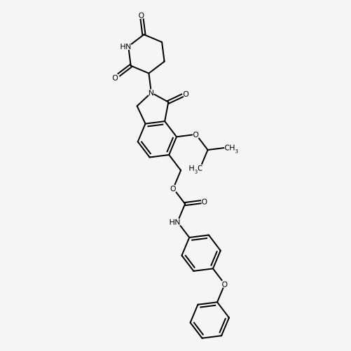 CC(C)Oc1c(COC(=O)Nc2ccc(Oc3ccccc3)cc2)ccc2c1C(=O)N(C1CCC(=O)NC1=O)C2